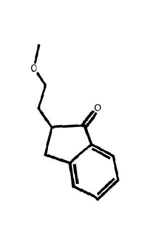 COCCC1Cc2ccccc2C1=O